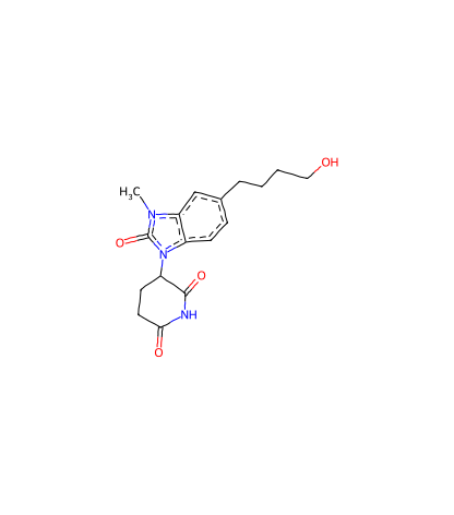 Cn1c(=O)n(C2CCC(=O)NC2=O)c2ccc(CCCCO)cc21